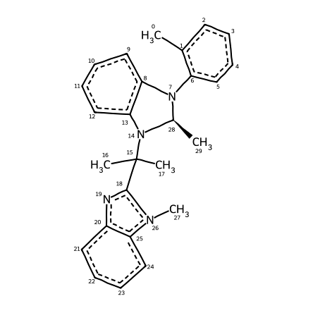 Cc1ccccc1N1c2ccccc2N(C(C)(C)c2nc3ccccc3n2C)[C@@H]1C